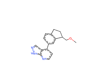 COCC1CCc2ccc(-c3ccnc4[nH]ncc34)cc21